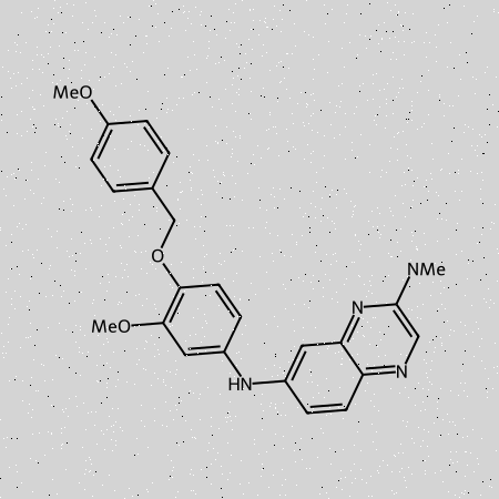 CNc1cnc2ccc(Nc3ccc(OCc4ccc(OC)cc4)c(OC)c3)cc2n1